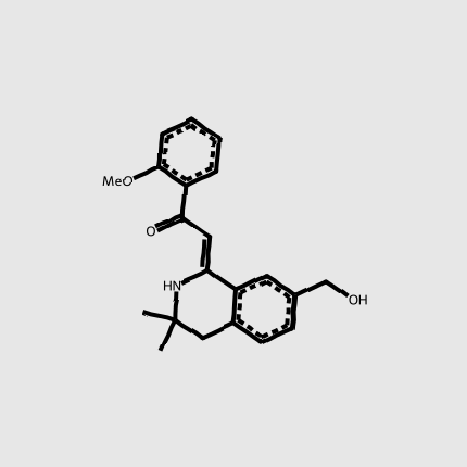 COc1ccccc1C(=O)C=C1NC(C)(C)Cc2ccc(CO)cc21